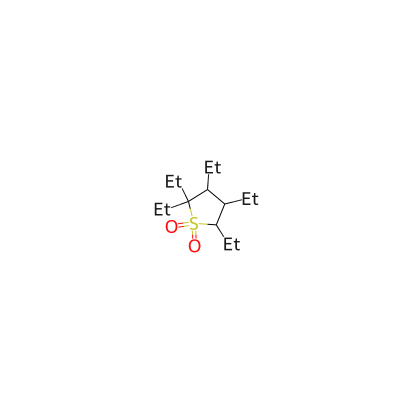 CCC1C(CC)C(CC)(CC)S(=O)(=O)C1CC